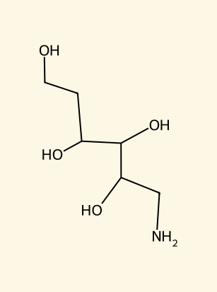 NCC(O)C(O)C(O)CCO